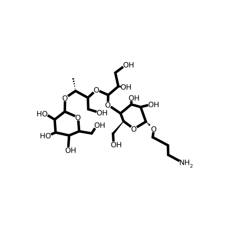 C[C@@H](OC1OC(CO)C(O)C(O)C1O)C(CO)OC(OC1C(O)C(O)[C@H](OCCCN)O[C@H]1CO)[C@@H](O)CO